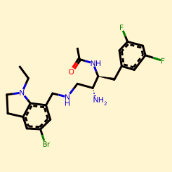 CCN1CCc2cc(Br)cc(CNC[C@@H](N)[C@H](Cc3cc(F)cc(F)c3)NC(C)=O)c21